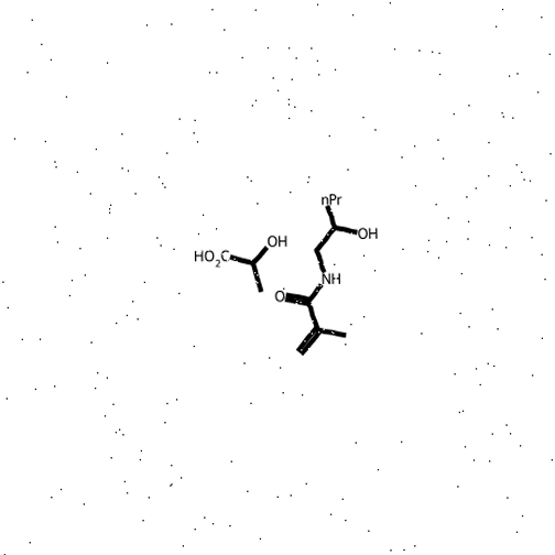 C=C(C)C(=O)NCC(O)CCC.CC(O)C(=O)O